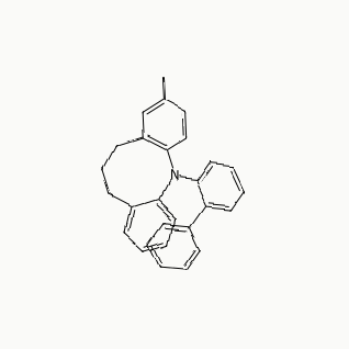 Cc1ccc2c(c1)CCCc1ccccc1N2c1ccccc1-c1ccccc1